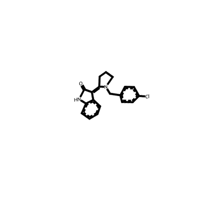 O=C1Nc2ccccc2C1=C1CCCN1Cc1ccc(Cl)cc1